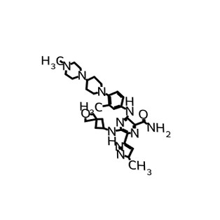 Cc1cc(Nc2nc(NC3CC4(COC4)C3)c(C3=CC(C)N=N3)nc2C(N)=O)ccc1N1CCC(N2CCN(C)CC2)CC1